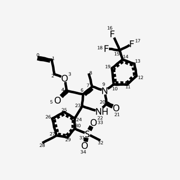 C=CCOC(=O)C1=C(C)N(c2cccc(C(F)(F)F)c2)C(=O)NC1c1ccc(C)cc1S(C)(=O)=O